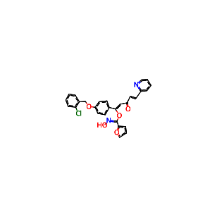 O=C(C=Cc1ccccn1)C=C(OC(=NO)c1ccco1)c1ccc(OCc2ccccc2Cl)cc1